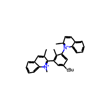 Cc1cc2ccccc2[n+](C)c1-c1cc(C(C)(C)C)cc(-[n+]2c(C)ccc3ccccc32)c1C